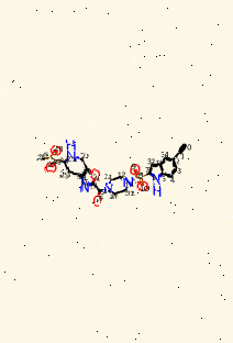 C#Cc1ccc2[nH]c(S(=O)(=O)N3CCN(C(=O)c4nc5c(o4)CNC(S(C)(=O)=O)C5)CC3)cc2c1